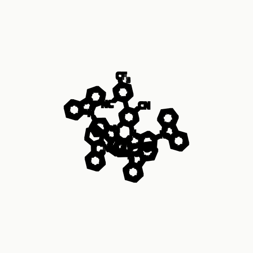 N#Cc1cc(C(F)(F)F)ccc1-c1cc(-n2c3cc(-n4c5ccccc5c5ccccc54)ccc3c3ccc(-n4c5ccccc5c5ccccc54)cc32)c(-n2c3cc(-n4c5c(c6ccccc64)CCC=C5)ccc3c3ccc(-n4c5ccccc5c5ccccc54)cc32)cc1C#N